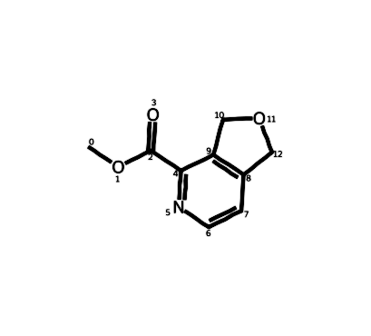 COC(=O)c1nccc2c1COC2